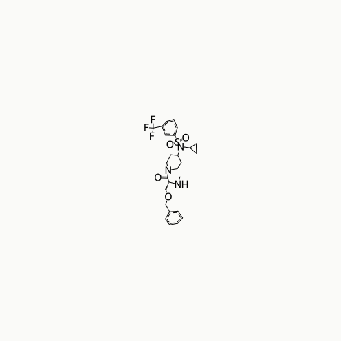 CN[C@@H](COCc1ccccc1)C(=O)N1CCC(N(C2CC2)S(=O)(=O)c2cccc(C(F)(F)F)c2)CC1